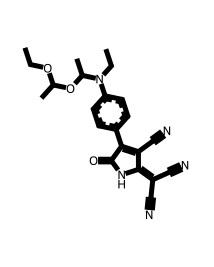 CCOC(C)OC(C)N(CC)c1ccc(C2=C(C#N)C(=C(C#N)C#N)NC2=O)cc1